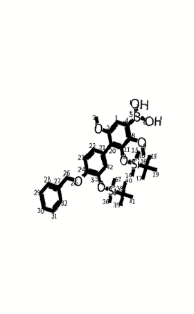 COc1cc(B(O)O)c(OC)c(O[Si](C)(C)C(C)(C)C)c1-c1ccc(OCc2ccccc2)c(O[Si](C)(C)C(C)(C)C)c1